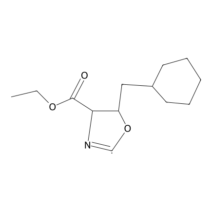 CCOC(=O)C1N=[C]OC1CC1CCCCC1